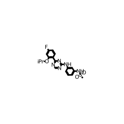 CC(C)Oc1cc(F)ccc1-c1ncnc(Nc2cccc(NS(C)(=O)=O)c2)n1